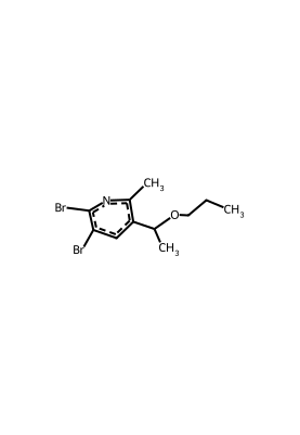 CCCOC(C)c1cc(Br)c(Br)nc1C